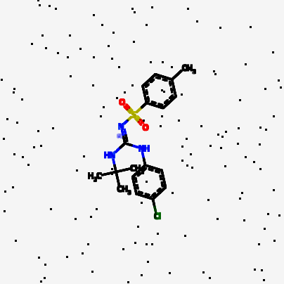 Cc1ccc(S(=O)(=O)/N=C(\Nc2ccc(Cl)cc2)NC(C)(C)C)cc1